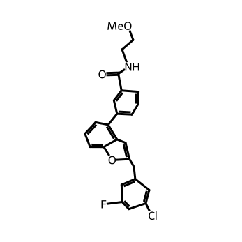 COCCNC(=O)c1cccc(-c2cccc3oc(Cc4cc(F)cc(Cl)c4)cc23)c1